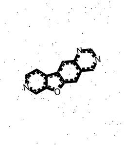 c1cc2c(cn1)oc1cc3cncnc3cc12